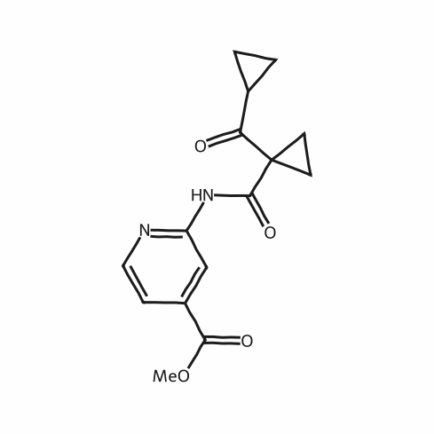 COC(=O)c1ccnc(NC(=O)C2(C(=O)C3CC3)CC2)c1